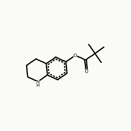 CC(C)(C)C(=O)Oc1ccc2c(c1)CCCN2